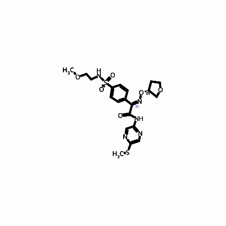 COCCNS(=O)(=O)c1ccc(/C(=N\O[C@@H]2CCOC2)C(=O)Nc2cnc(SC)cn2)cc1